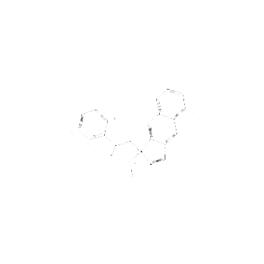 CC(C[C]1([Hf]([CH3])[CH3])C=Cc2cc3ccccc3cc21)c1ccccc1